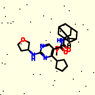 COC(=O)[C@]12CC3CC(C1)[C@H](NC(=O)c1cnc(N[C@H]4CCOC4)nc1C1CCCC1)C(C3)C2